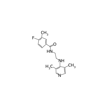 Cc1cc(C(=O)NCCNc2c(C)cncc2C)ccc1F